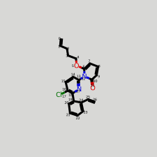 C=CCCCOc1cccc(=O)n1-c1ccc(Cl)c(-c2ccccc2C=C)n1